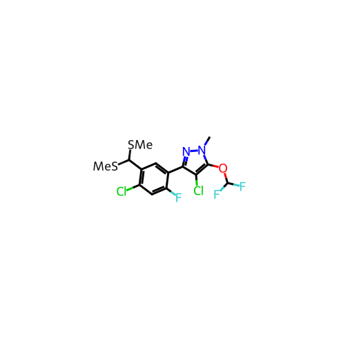 CSC(SC)c1cc(-c2nn(C)c(OC(F)F)c2Cl)c(F)cc1Cl